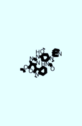 COc1cc(N(C)C2CN3CCC2CC3)c(NC=O)cc1Nc1ncc(C(=O)OC(C)C)c(-c2cn(C)c3ccccc23)n1